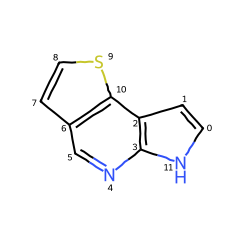 c1cc2c(ncc3ccsc32)[nH]1